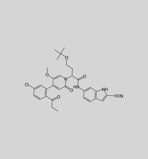 CCC(=O)c1ccc(Cl)cc1-c1cc(=O)n(C(CCOC(C)(C)C)C(=O)Nc2ccc3cc(C#N)[nH]c3c2)cc1OC